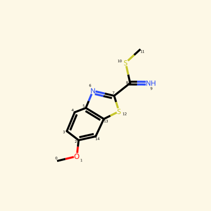 COc1ccc2nc(C(=N)SC)sc2c1